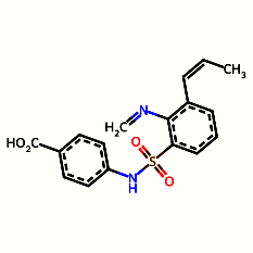 C=Nc1c(/C=C\C)cccc1S(=O)(=O)Nc1ccc(C(=O)O)cc1